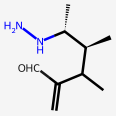 C=C(C=O)C(C)[C@H](C)[C@@H](C)NN